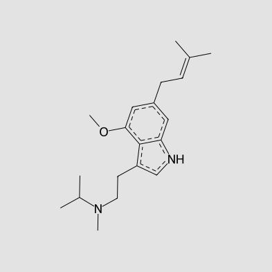 COc1cc(CC=C(C)C)cc2[nH]cc(CCN(C)C(C)C)c12